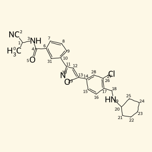 CC(C#N)NC(=O)c1cccc(-c2cc(-c3ccc(CNC4CCCCC4)c(Cl)c3)on2)c1